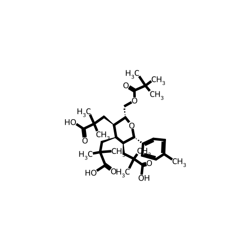 Cc1ccc([C@H]2O[C@@H](COC(=O)C(C)(C)C)[C@H](CC(C)(C)C(=O)O)[C@H](CC(C)(C)C(=O)O)[C@@H]2CC(C)(C)C(=O)O)cc1